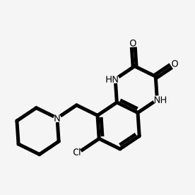 O=c1[nH]c2ccc(Cl)c(CN3CCCCC3)c2[nH]c1=O